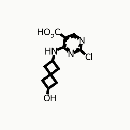 O=C(O)c1cnc(Cl)nc1NC1CC2(CC(O)C2)C1